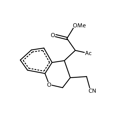 COC(=O)C(C(C)=O)C1c2ccccc2OCC1CC#N